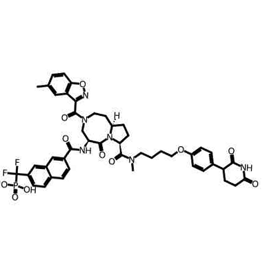 Cc1ccc2onc(C(=O)N3CC[C@H]4CC[C@@H](C(=O)N(C)CCCCOc5ccc(C6CCC(=O)NC6=O)cc5)N4C(=O)[C@@H](NC(=O)c4ccc5ccc(C(F)(F)P(=O)(O)O)cc5c4)C3)c2c1